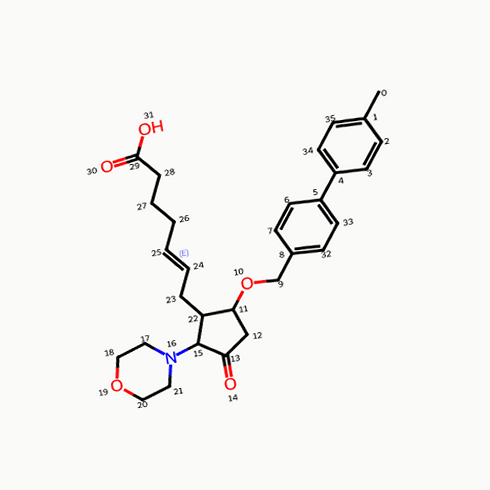 Cc1ccc(-c2ccc(COC3CC(=O)C(N4CCOCC4)C3C/C=C/CCCC(=O)O)cc2)cc1